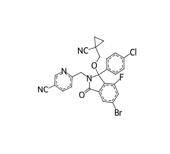 N#Cc1ccc(CN2C(=O)c3cc(Br)cc(F)c3C2(OCC2(C#N)CC2)c2ccc(Cl)cc2)nc1